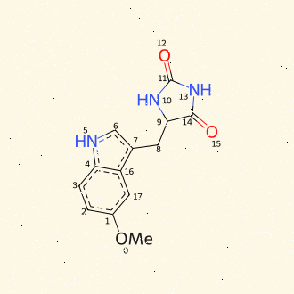 COc1ccc2[nH]cc(CC3NC(=O)NC3=O)c2c1